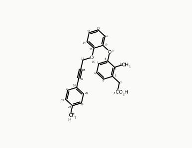 Cc1c(CC(=O)O)cccc1Oc1ccccc1OCC#Cc1ccc(C(F)(F)F)cc1